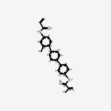 C=CC(=O)Sc1ccc(-c2ccc(-c3ccc(SC(=O)C(=C)C)cc3)cc2)c(C)c1